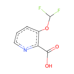 O=C(O)c1ncccc1OC(F)F